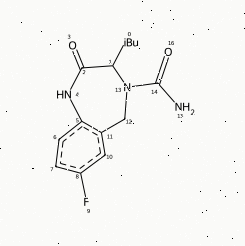 CCC(C)C1C(=O)Nc2ccc(F)cc2CN1C(N)=O